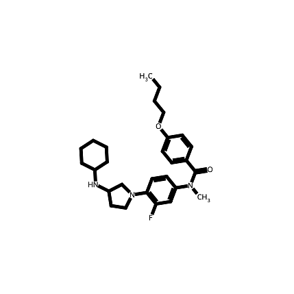 CCCCOc1ccc(C(=O)N(C)c2ccc(N3CCC(NC4CCCCC4)C3)c(F)c2)cc1